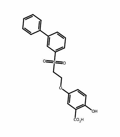 O=C(O)c1cc(OCCS(=O)(=O)c2cccc(-c3ccccc3)c2)ccc1O